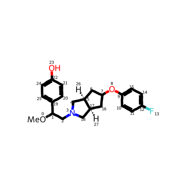 COC(CN1C[C@H]2CC(Oc3ccc(F)cc3)C[C@H]2C1)c1ccc(O)cc1